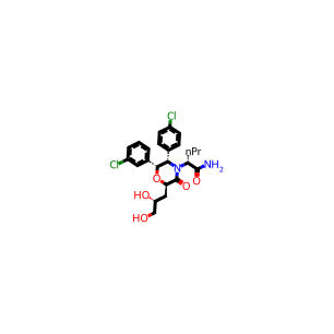 CCC[C@H](C(N)=O)N1C(=O)[C@@H](C[C@@H](O)CO)O[C@H](c2cccc(Cl)c2)[C@@H]1c1ccc(Cl)cc1